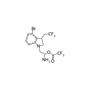 NC(CN1CC(CC(F)(F)F)c2c(Br)cccc21)OC(=O)C(F)(F)F